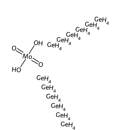 [GeH4].[GeH4].[GeH4].[GeH4].[GeH4].[GeH4].[GeH4].[GeH4].[GeH4].[GeH4].[GeH4].[GeH4].[O]=[Mo](=[O])([OH])[OH]